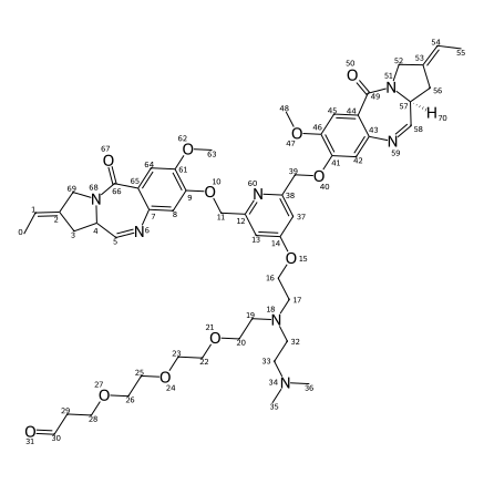 C/C=C1\CC2C=Nc3cc(OCc4cc(OCCN(CCOCCOCCOCCC=O)CCN(C)C)cc(COc5cc6c(cc5OC)C(=O)N5C/C(=C/C)C[C@H]5C=N6)n4)c(OC)cc3C(=O)N2C1